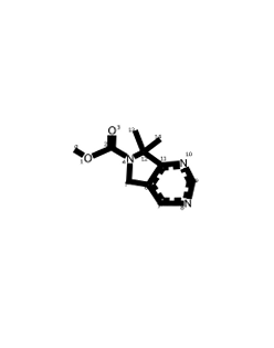 COC(=O)N1Cc2cncnc2C1(C)C